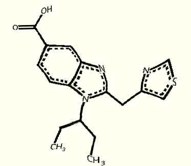 CCC(CC)n1c(Cc2cscn2)nc2cc(C(=O)O)ccc21